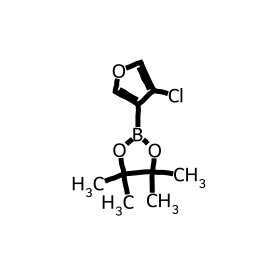 CC1(C)OB(c2cocc2Cl)OC1(C)C